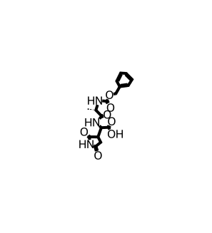 C[C@H](NC(=O)OCc1ccccc1)C(=O)NC(C(=O)O)C1CC(=O)NC1=O